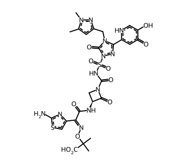 Cc1cc(Cn2c(-c3cc(=O)c(O)c[nH]3)nn(S(=O)(=O)NC(=O)N3C[C@H](NC(=O)C(=NOC(C)(C)C(=O)O)c4csc(N)n4)C3=O)c2=O)nn1C